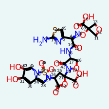 Nc1nc(/C(=N/OC2(C(=O)O)COC2)C(=O)N[C@H]2CON(C3(C(=O)O)CC(N4C=C5C=C(O)C(O)=CN5S4(=O)=O)C(=O)O3)C2=O)cs1